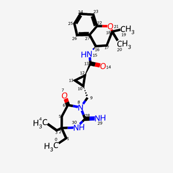 CCC1(CC)CC(=O)N(C[C@@H]2C[C@H]2C(=O)N[C@H]2CC(C)(C)Oc3ccccc32)C(=N)N1